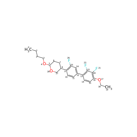 CCCCOC1CCC(c2ccc(-c3ccc(OCC)c(F)c3F)cc2F)CO1